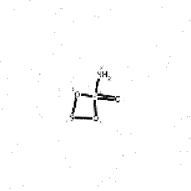 NP1(=O)OSO1